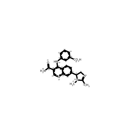 CC1=NCC(c2ccc3c(Nc4cccc(C(=O)O)c4)c(C(N)=O)cnc3c2)N1C